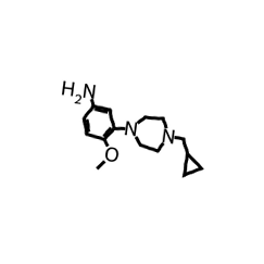 COc1ccc(N)cc1N1CCN(CC2CC2)CC1